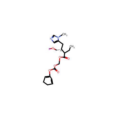 CCC(C(=O)OCOC(=O)OC1=CCCC=C1)[C@H](COI)Cc1cncn1C